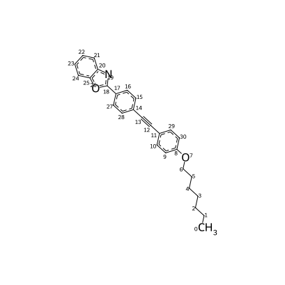 CCCCCCCOc1ccc(C#Cc2ccc(-c3nc4ccccc4o3)cc2)cc1